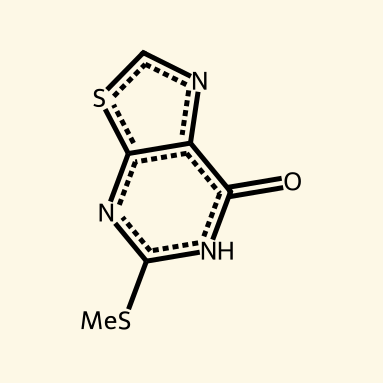 CSc1nc2scnc2c(=O)[nH]1